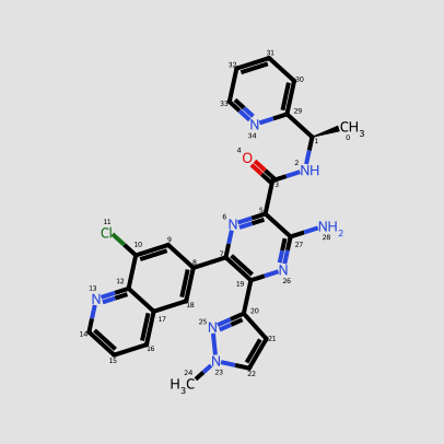 C[C@@H](NC(=O)c1nc(-c2cc(Cl)c3ncccc3c2)c(-c2ccn(C)n2)nc1N)c1ccccn1